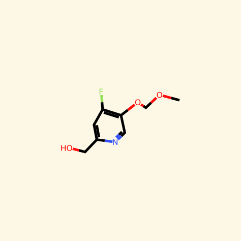 COCOc1cnc(CO)cc1F